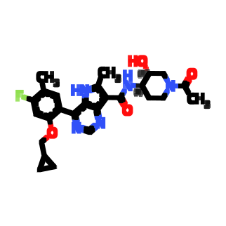 CC(=O)N1CC[C@@H](NC(=O)c2c(C)[nH]c3c(-c4cc(C)c(F)cc4OCC4CC4)ncnc23)[C@H](O)C1